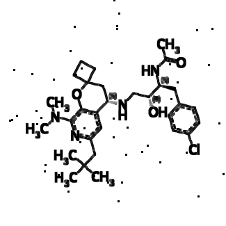 CC(=O)N[C@@H](Cc1ccc(Cl)cc1)[C@H](O)CN[C@H]1CC2(CCC2)Oc2c1cc(CC(C)(C)C)nc2N(C)C